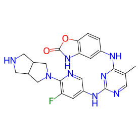 Cc1cnc(Nc2cnc(N3CC4CNCC4C3)c(F)c2)nc1Nc1ccc2oc(=O)[nH]c2c1